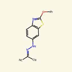 CC(C)Oc1nc2ccc(NN=C(C#N)C#N)cc2s1